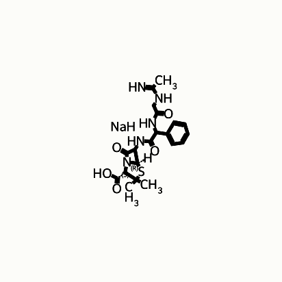 CC(=N)NCC(=O)NC(C(=O)NC1C(=O)N2[C@@H]1SC(C)(C)[C@@H]2C(=O)O)c1ccccc1.[NaH]